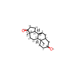 C[C@]12CCC(=O)CC1CC=C1[C@@H]2CC[C@]2(C)C(=O)CC[C@@H]12